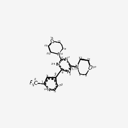 FC(F)(F)c1cc(-c2nc(N3CCOCC3)nc(N3CCOCC3)n2)ccn1